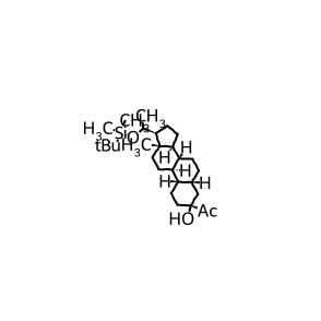 CC(=O)[C@@]1(O)CC[C@H]2[C@H](CC[C@@H]3[C@@H]2CC[C@]2(C)[C@@H](C(C)O[Si](C)(C)C(C)(C)C)CC[C@@H]32)C1